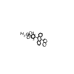 C=P(C)(C)c1ccc(-c2c3ccccc3c(C3=CCCC4=C3C=CCC4)c3ccccc23)cc1